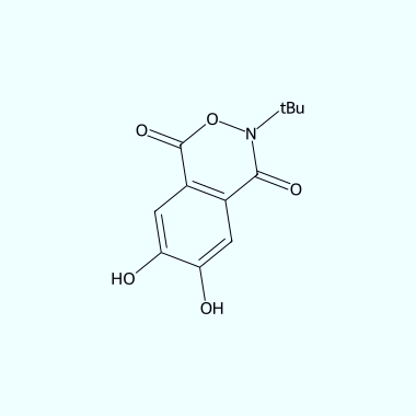 CC(C)(C)n1oc(=O)c2cc(O)c(O)cc2c1=O